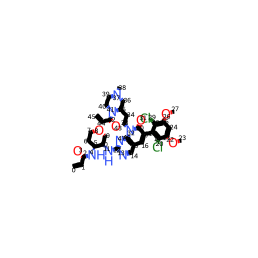 C=CC(=O)N[C@H]1CCOC[C@H]1Nc1ncc2cc(-c3c(Cl)c(OC)cc(OC)c3Cl)c(=O)n(CCC3CN(C)CCN3C(=O)C=C)c2n1